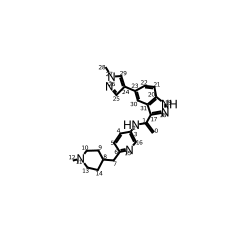 C=C(Nc1ccc(CC2CCN(C)CC2)nc1)c1n[nH]c2ccc(-c3cnn(C)c3)cc12